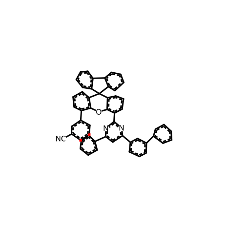 N#Cc1cccc(-c2cccc3c2Oc2c(-c4nc(-c5ccccc5)cc(-c5cccc(-c6ccccc6)c5)n4)cccc2C32c3ccccc3-c3ccccc32)c1